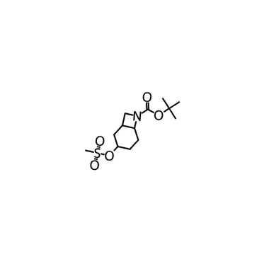 CC(C)(C)OC(=O)N1CC2CC(OS(C)(=O)=O)CCC21